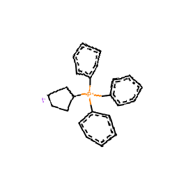 [I-].c1ccc([P+](c2ccccc2)(c2ccccc2)C2CCCC2)cc1